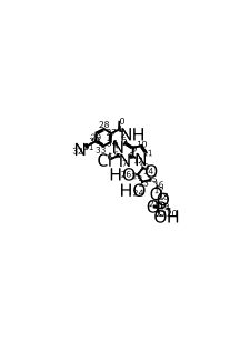 CC(Nc1nc(Cl)nc2c1ccn2[C@@H]1O[C@H](COOP(C)(=O)O)[C@@H](O)[C@H]1O)c1ccc(C#N)cc1